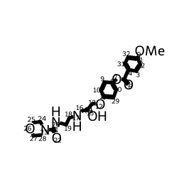 COc1ccc(C(=O)Oc2ccc(OC[C@@H](O)CNCCNC(=O)N3CCOCC3)cc2)cc1